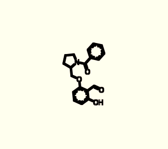 O=Cc1c(O)cccc1OCC1CCCN1C(=O)c1ccccc1